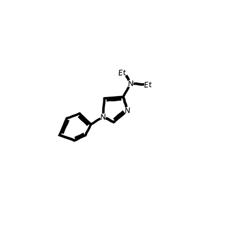 CCN(CC)c1cn(-c2ccccc2)cn1